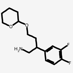 NCC(CCOC1CCCCO1)c1ccc(F)c(F)c1